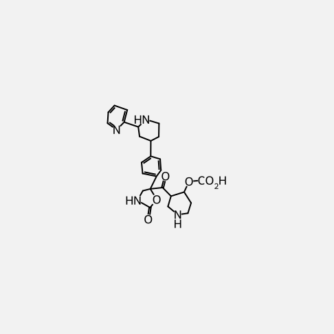 O=C(O)OC1CCNCC1C(=O)C1(c2ccc(C3CCNC(c4ccccn4)C3)cc2)CNC(=O)O1